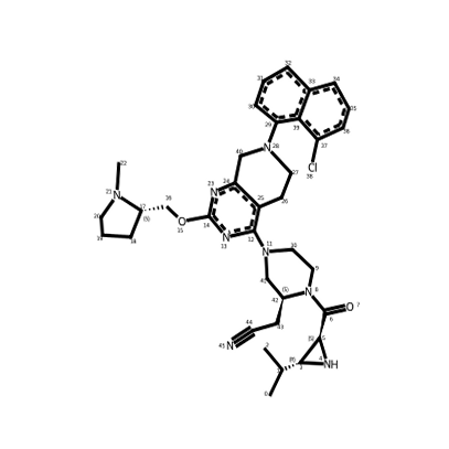 CC(C)[C@H]1N[C@@H]1C(=O)N1CCN(c2nc(OC[C@@H]3CCCN3C)nc3c2CCN(c2cccc4cccc(Cl)c24)C3)C[C@@H]1CC#N